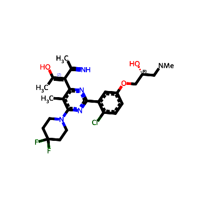 CNC[C@@H](O)COc1ccc(Cl)c(-c2nc(/C(C(C)=N)=C(\C)O)c(C)c(N3CCC(F)(F)CC3)n2)c1